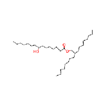 CCCCCCCCC(CCCCCCCC)COC(=O)CCCCCCC(O)CCCCCCC